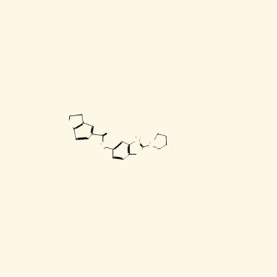 O=C(Nc1ccc2sc(N3CC[C@H](O)C3)nc2c1)c1ccc2c(c1)CCO2